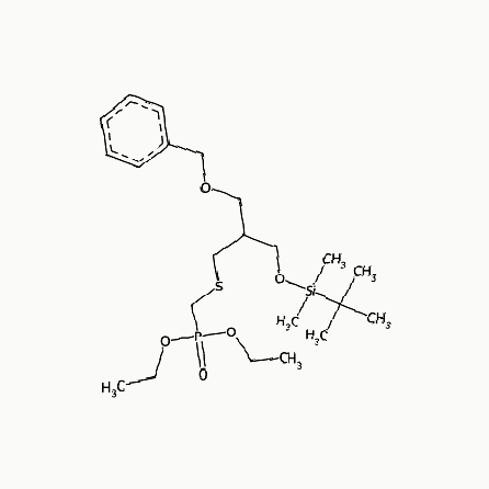 CCOP(=O)(CSCC(COCc1ccccc1)CO[Si](C)(C)C(C)(C)C)OCC